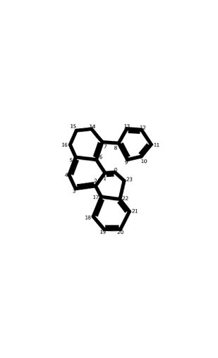 C1=c2c(ccc3c2=C(c2ccccc2)CCC3)-c2ccccc2C1